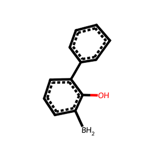 Bc1cccc(-c2ccccc2)c1O